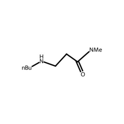 CCCCNCCC(=O)NC